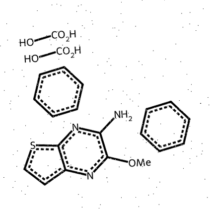 COc1nc2ccsc2nc1N.O=C(O)O.O=C(O)O.c1ccccc1.c1ccccc1